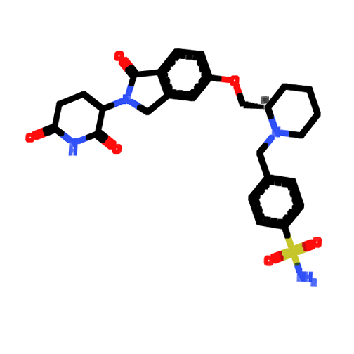 NS(=O)(=O)c1ccc(CN2CCCC[C@H]2COc2ccc3c(c2)CN(C2CCC(=O)NC2=O)C3=O)cc1